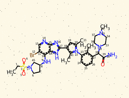 CCS(=O)(=O)N1CC[C@H](Nc2c(Br)cnc3nc(-c4cc(C)n(-c5cccc(C(C(N)=O)N6CCN(C)CC6)c5C)c4C)[nH]c23)C1